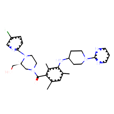 Cc1cc(C)c(C(=O)N2CCN(c3ccc(F)cn3)[C@H](CO)C2)c(C)c1NC1CCN(c2ncccn2)CC1